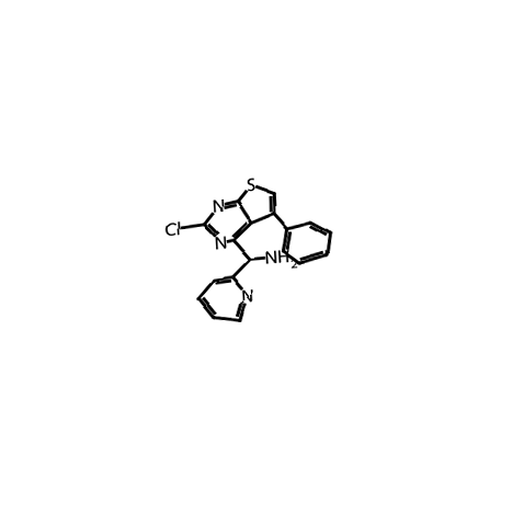 NC(c1ccccn1)c1nc(Cl)nc2scc(-c3ccccc3)c12